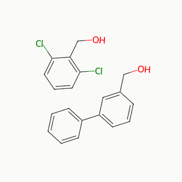 OCc1c(Cl)cccc1Cl.OCc1cccc(-c2ccccc2)c1